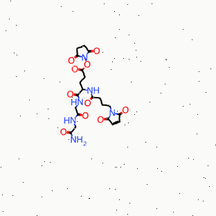 NC(=O)CNC(=O)CNC(=O)C(CCC(=O)ON1C(=O)CCC1=O)NC(=O)CCCN1C(=O)C=CC1=O